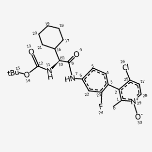 Cc1c(-c2ccc(NC(=O)[C@@H](NC(=O)OC(C)(C)C)C3CCCCC3)cc2F)c(Cl)cc[n+]1[O-]